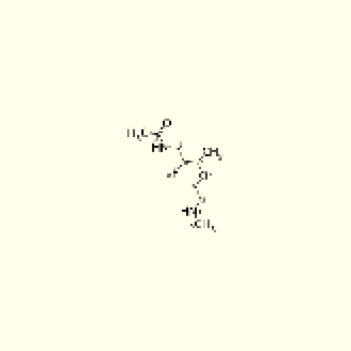 CNCCOC(C)C(F)CNC(C)=O